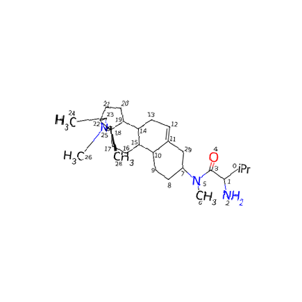 CC(C)C(N)C(=O)N(C)C1CCC2C(=CCC3C2CCC24C3CCC2C(C)N(C)[C@H]4C)C1